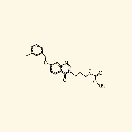 CC(C)(C)OC(=O)NCCCn1cnc2cc(OCc3cccc(F)c3)ccc2c1=O